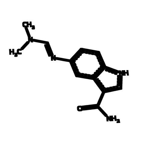 CN(C)/C=N/c1ccc2[nH]cc(C(N)=O)c2c1